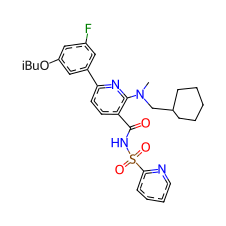 CC(C)COc1cc(F)cc(-c2ccc(C(=O)NS(=O)(=O)c3ccccn3)c(N(C)CC3CCCCC3)n2)c1